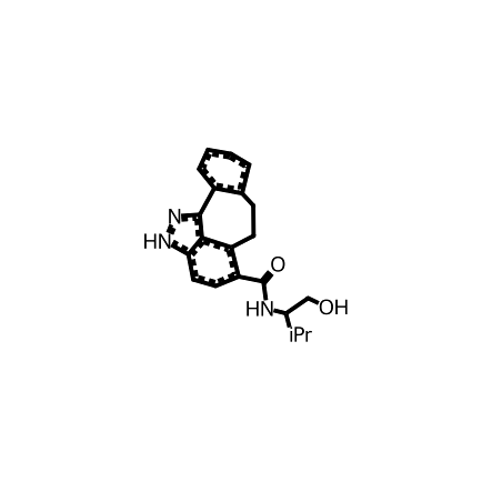 CC(C)C(CO)NC(=O)c1ccc2[nH]nc3c2c1CCc1ccccc1-3